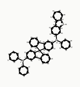 c1ccc(N(c2ccccc2)c2ccc3c(c2)-c2ccccc2C32c3ccccc3-c3cc(N(c4ccccc4)c4ccc5c(c4)sc4ccccc45)ccc32)cc1